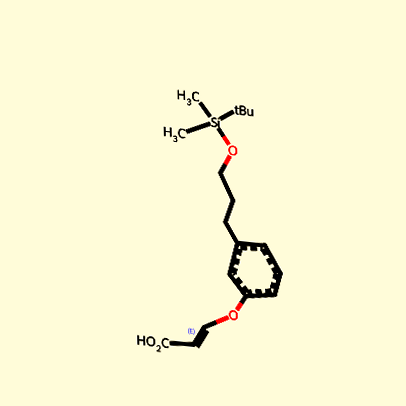 CC(C)(C)[Si](C)(C)OCCCc1cccc(O/C=C/C(=O)O)c1